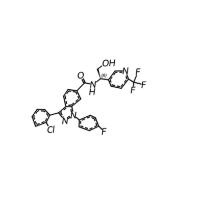 O=C(N[C@@H](CO)c1ccc(C(F)(F)F)nc1)c1ccc2c(-c3ccccc3Cl)nn(-c3ccc(F)cc3)c2c1